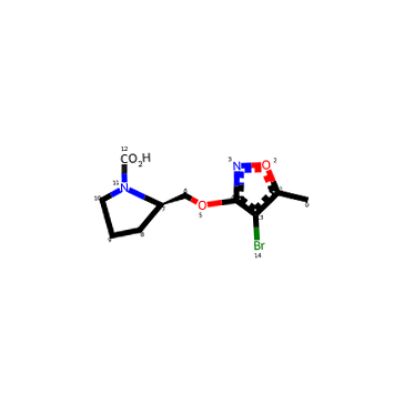 Cc1onc(OC[C@H]2CCCN2C(=O)O)c1Br